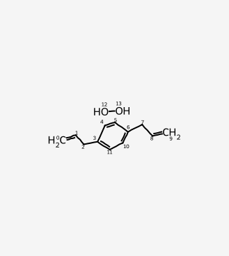 C=CCc1ccc(CC=C)cc1.OO